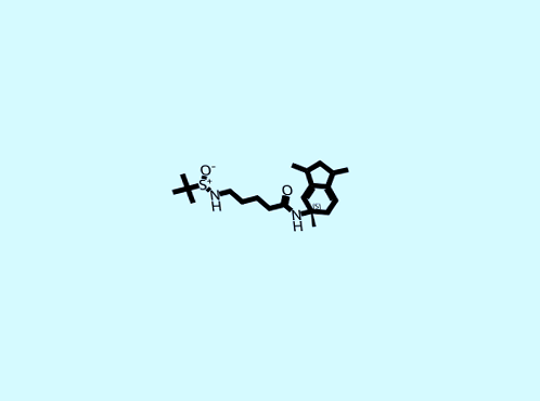 CC1CC(C)C2=C[C@@](C)(NC(=O)CCCCN[S+]([O-])C(C)(C)C)CC=C21